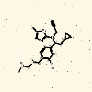 C#CCN(c1ncc(C)s1)C(CC1CC1)c1ccc(COCOC)c(F)c1